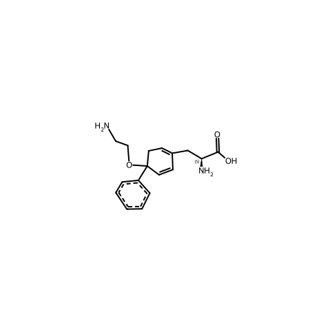 NCCOC1(c2ccccc2)C=CC(C[C@H](N)C(=O)O)=CC1